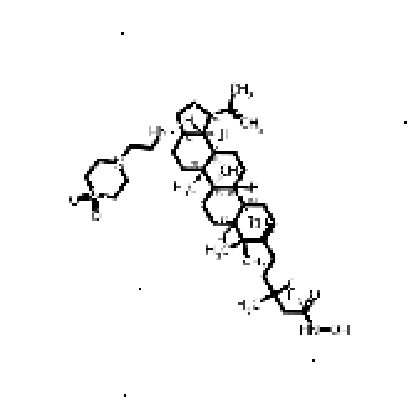 C=C(C)[C@@H]1CC[C@]2(NCCN3CCS(=O)(=O)CC3)CC[C@]3(C)[C@H](CC[C@@H]4[C@@]5(C)CC=C(CCC(C)(C)CC(=O)NO)C(C)(C)[C@@H]5CC[C@]43C)[C@@H]12